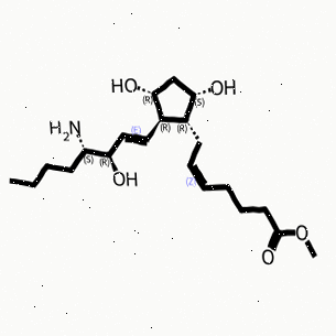 CCCC[C@H](N)[C@H](O)/C=C/[C@@H]1[C@@H](C/C=C\CCCC(=O)OC)[C@@H](O)C[C@H]1O